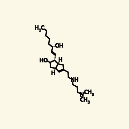 CCCCC[C@H](O)/C=C/[C@@H]1[C@H]2CC(CCNCCCN(C)C)=C[C@H]2C[C@H]1O